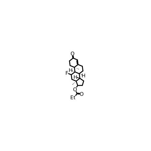 CCC(=O)OC1CC[C@H]2[C@@H]3CCC4=CC(=O)CC[C@]4(C)[C@@H]3C(F)C[C@]12C